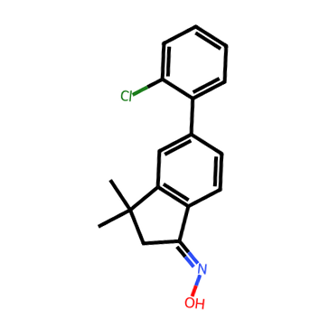 CC1(C)CC(=NO)c2ccc(-c3ccccc3Cl)cc21